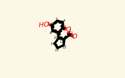 O=c1oc2ccc(O)cc2c2c1CCC2